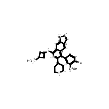 COc1cc(-c2c(C3CCOCC3)nc(OC3CC(C(=O)O)C3)c3cc4[nH]ncc4cc23)ccc1F